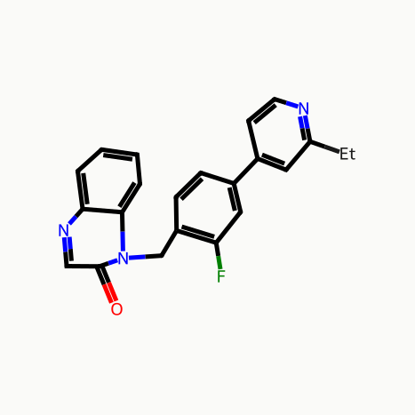 CCc1cc(-c2ccc(Cn3c(=O)cnc4ccccc43)c(F)c2)ccn1